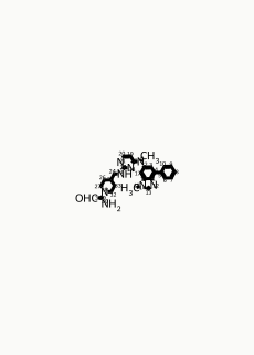 CN(c1cc(-c2ccccc2)c2ncn(C)c2c1)c1ccnc(NCC2CCN(C(N)C=O)CC2)n1